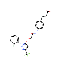 O=C(O)CCc1ccc(NC(=O)COc2cc(C(F)(F)F)nn2C2=CC=CCC2Cl)cc1